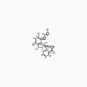 CCCC(C)(Pc1ccccc1C(C)=O)c1cc(C)cc(C)c1OCOC